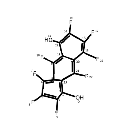 Oc1c(F)c(F)c(F)c2c(F)c3c(O)c(F)c(F)c(F)c3c(F)c12